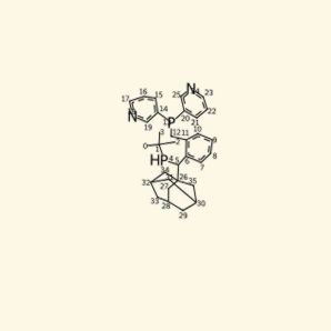 CC(C)(C)PC(c1ccccc1CP(c1cccnc1)c1cccnc1)C12CC3CC(CC(C3)C1)C2